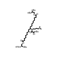 CCCCCCC(CCCC)COC(=O)CCCCCCCCC(CCCCCCCCC(=O)OCC(CCCC)CCCC)N(CCCCN(C)C)C(=O)C(CC)CCCC